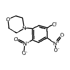 O=[N+]([O-])c1cc([N+](=O)[O-])c(N2CCOCC2)cc1Cl